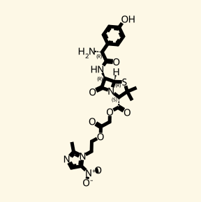 Cc1ncc([N+](=O)[O-])n1CCOC(=O)COC(=O)[C@@H]1N2C(=O)[C@@H](NC(=O)[C@H](N)c3ccc(O)cc3)[C@H]2SC1(C)C